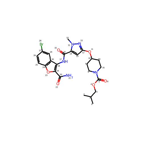 CC(C)COC(=O)N1CCC(Oc2cc(C(=O)Nc3c(C(N)=O)oc4ccc(Br)cc34)n(C)n2)CC1